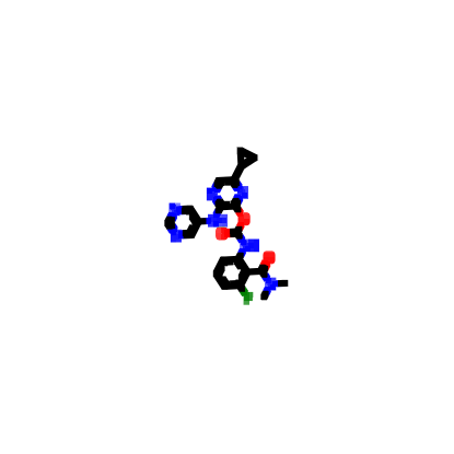 CN(C)C(=O)c1c(F)cccc1NC(=O)Oc1nc(C2CC2)cnc1Nc1cncnc1